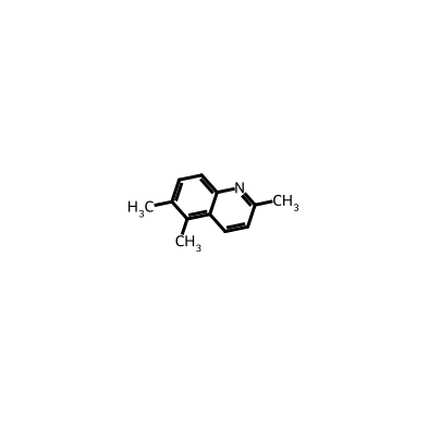 Cc1ccc2c(C)c(C)ccc2n1